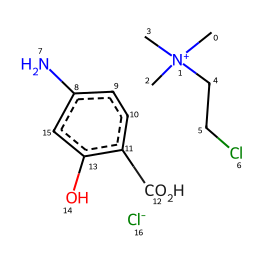 C[N+](C)(C)CCCl.Nc1ccc(C(=O)O)c(O)c1.[Cl-]